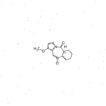 COc1ccn2c1C=[N+]([O-])C1=CCCC[C@@H]1C2=O